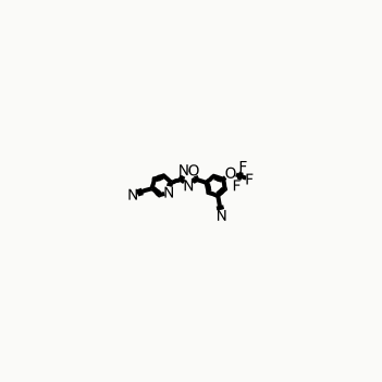 N#Cc1ccc(-c2noc(-c3cc(C#N)cc(OC(F)(F)F)c3)n2)nc1